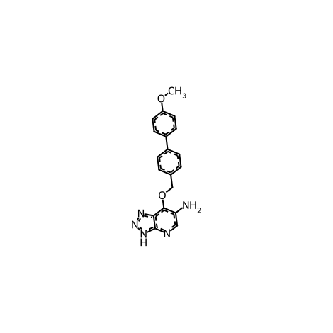 COc1ccc(-c2ccc(COc3c(N)cnc4[nH]nnc34)cc2)cc1